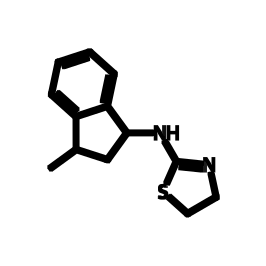 CC1CC(NC2=NCCS2)c2ccccc21